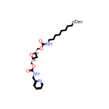 CCCCCCCCCCCCCCCCCCNC(=O)OC[C@@H]1C[C@H](COC(=O)NCc2ccccn2)O1